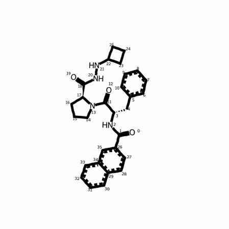 O=C(N[C@@H](Cc1ccccc1)C(=O)N1CCC[C@H]1C(=O)NNC1CCC1)c1ccc2ccccc2c1